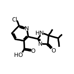 CC(C)C1(C)NC(c2nc(Cl)ccc2C(=O)O)=NC1=O